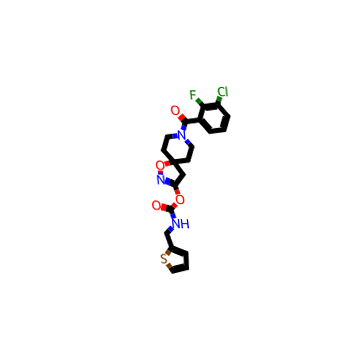 O=C(NCc1cccs1)OC1=NOC2(CCN(C(=O)c3cccc(Cl)c3F)CC2)C1